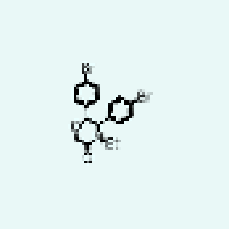 CCN1C(=O)CO[C@@H](c2ccc(Br)cc2)[C@H]1c1ccc(Br)cc1